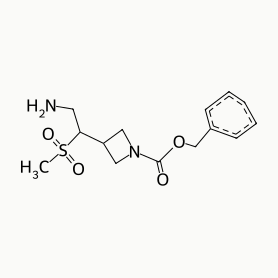 CS(=O)(=O)C(CN)C1CN(C(=O)OCc2ccccc2)C1